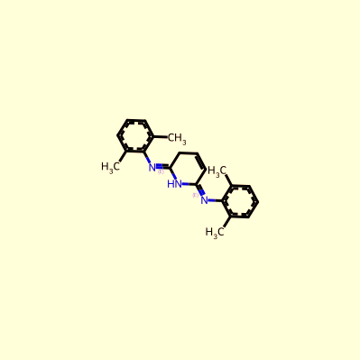 Cc1cccc(C)c1/N=C1\C=CC/C(=N\c2c(C)cccc2C)N1